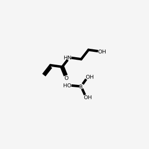 C=CC(=O)NCCO.OB(O)O